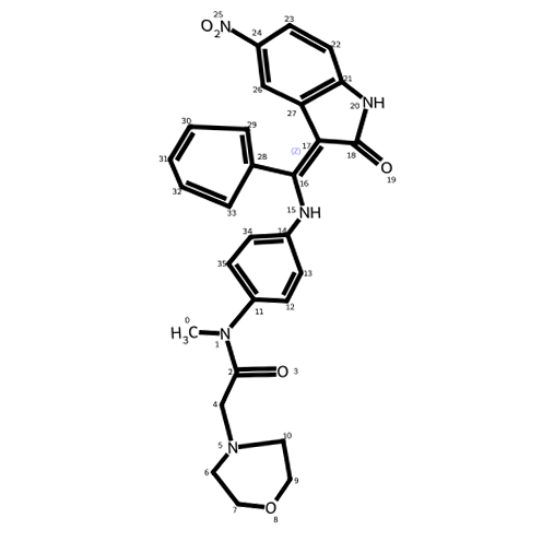 CN(C(=O)CN1CCOCC1)c1ccc(N/C(=C2\C(=O)Nc3ccc([N+](=O)[O-])cc32)c2ccccc2)cc1